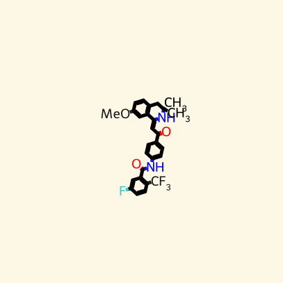 COc1ccc2c(c1)C(=CC(=O)c1ccc(NC(=O)c3cc(F)ccc3C(F)(F)F)cc1)NC(C)(C)C2